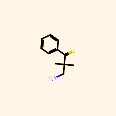 CC(C)(CN)C(=S)c1ccccc1